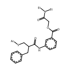 CCN(CC)C(=O)COC(=O)c1cccc(NC(=O)C(CSC(C)=O)Cc2ccccc2)c1